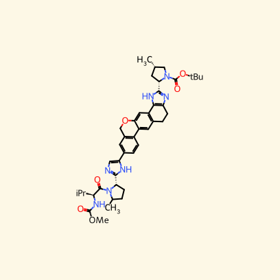 COC(=O)N[C@H](C(=O)N1C(C)CC[C@H]1c1ncc(-c2ccc3c(c2)COc2cc4c(cc2-3)CCc2nc([C@@H]3C[C@H](C)CN3C(=O)OC(C)(C)C)[nH]c2-4)[nH]1)C(C)C